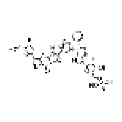 CC(CN(C(=O)c1ccccc1)c1ncnc2c1ncn2[C@@H]1O[C@H](COP(O)(O)=S)[C@@H](O)[C@H]1F)C(=O)Nc1nc2c(ncn2[C@H]2C[C@H](F)[C@@H](CO)O2)c(=O)[nH]1